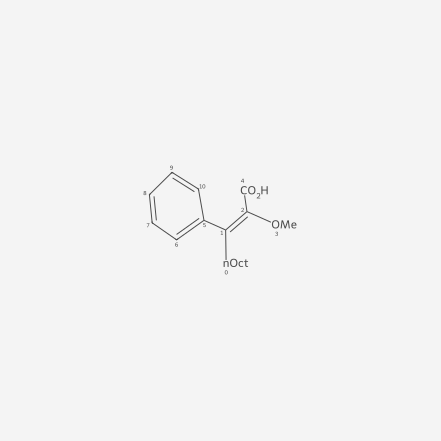 CCCCCCCCC(=C(OC)[14C](=O)O)c1ccccc1